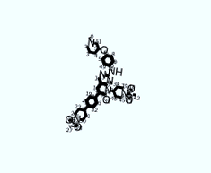 CN1CCCC(Oc2ccc(Nc3ncc4cc(-c5ccc(C6CCN(S(C)(=O)=O)CC6)cc5)c(=O)n(C5CCN(S(C)(=O)=O)CC5)c4n3)cc2)C1